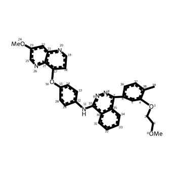 COCCOc1cc(-c2nnc(Nc3ccc(Oc4ccnc5cc(OC)cnc45)cc3)c3ccccc23)ccc1C